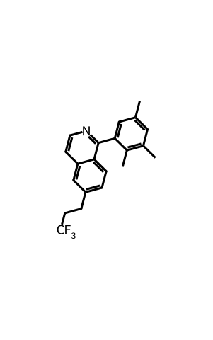 Cc1cc(C)c(C)c(-c2nccc3cc(CCC(F)(F)F)ccc23)c1